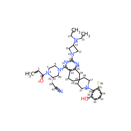 C=CC(=O)N1CCN(c2nc(N3CC(N(CC)CC)C3)nc3c2CCC2(CCN(c4c(O)cccc4F)CC2)C3)C[C@@H]1CC#N